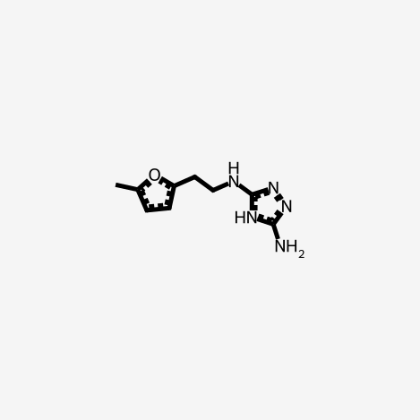 Cc1ccc(CCNc2nnc(N)[nH]2)o1